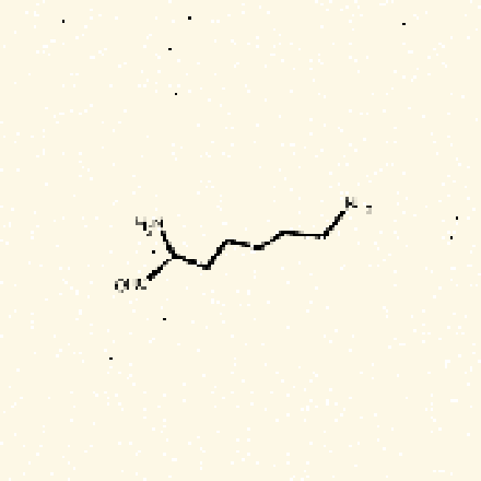 NCCCCC[C@H](N)C=O